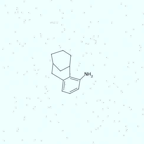 Nc1cccc2c1C1CCCC(C2)C1